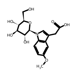 COc1ccc2c(c1)c(CC(=O)O)cn2[C@@H]1O[C@H](CO)[C@@H](O)[C@H](O)[C@H]1O